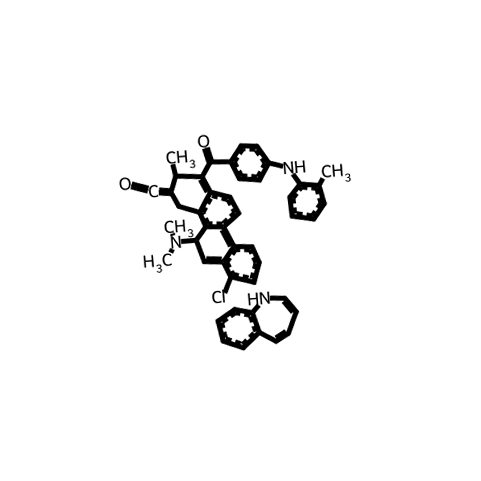 C1=CNc2ccccc2C=C1.Cc1ccccc1Nc1ccc(C(=O)C2=c3ccc4c(c3CC(=C=O)C2C)C(N(C)C)C=c2c(Cl)cccc2=4)cc1